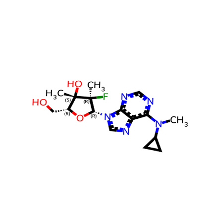 CN(c1ncnc2c1ncn2[C@@H]1O[C@H](CO)[C@](C)(O)[C@@]1(C)F)C1CC1